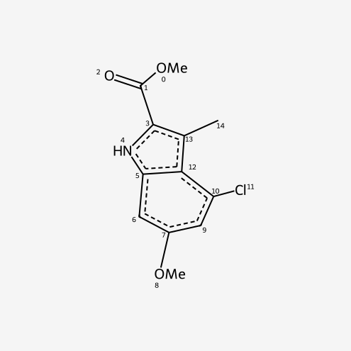 COC(=O)c1[nH]c2cc(OC)cc(Cl)c2c1C